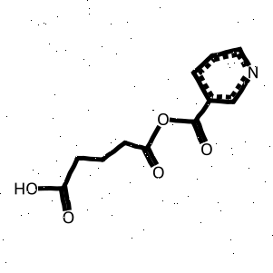 O=C(O)CCCC(=O)OC(=O)c1cccnc1